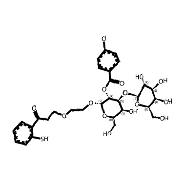 O=C(O[C@H]1[C@@H](OCCOCCC(=O)c2ccccc2S)O[C@H](CO)[C@H](O)[C@@H]1O[C@@H]1O[C@H](CO)[C@H](O)[C@H](O)[C@H]1O)c1ccc(Cl)cc1